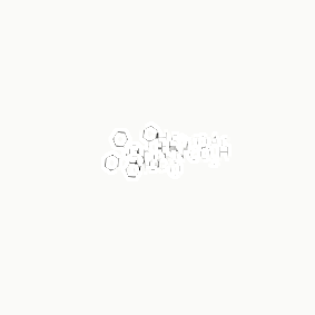 CO[C@@]1(NC(=O)/C(=N/OC(c2ccccc2)(c2ccccc2)c2ccccc2)c2ccccc2)C(=O)N2C(C(=O)O)=C(COC(C)=O)CS[C@@H]21